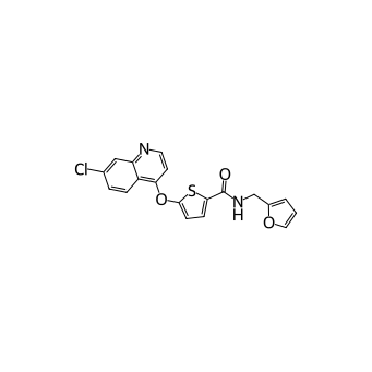 O=C(NCc1ccco1)c1ccc(Oc2ccnc3cc(Cl)ccc23)s1